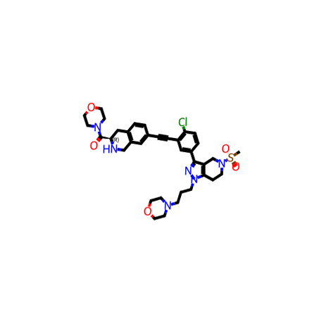 CS(=O)(=O)N1CCc2c(c(-c3ccc(Cl)c(C#Cc4ccc5c(c4)CN[C@@H](C(=O)N4CCOCC4)C5)c3)nn2CCCN2CCOCC2)C1